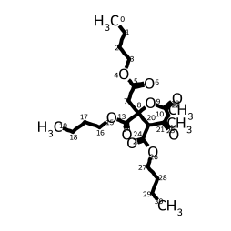 CCCCOC(=O)CC(OC(C)=O)(C(=O)OCCCC)C(C(C)=O)C(=O)OCCCC